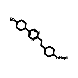 CCCCCCCC1CCC(CCc2ncc(C3CCC(CC)CC3)cn2)CC1